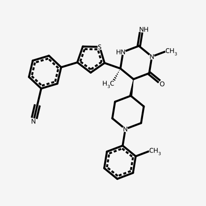 Cc1ccccc1N1CCC([C@@H]2C(=O)N(C)C(=N)N[C@]2(C)c2cc(-c3cccc(C#N)c3)cs2)CC1